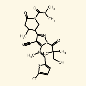 CC1CC(=O)N(C(=O)N(C)C)CC1c1nn(C(=O)C(C)(C)CO)c(N(C)Cc2ccc(Cl)s2)c1C#N